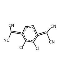 N#CC(C#N)=c1ccc(=C(C#N)C#N)c(Cl)c1Cl